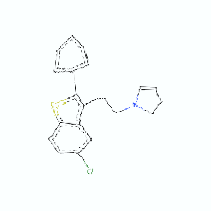 Clc1ccc2sc(-c3ccccc3)c(CCN3C=CCC3)c2c1